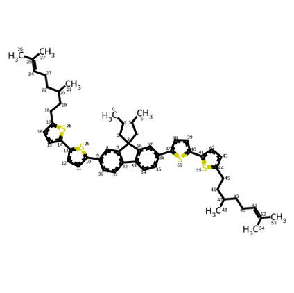 CCCC1(CCC)c2cc(-c3ccc(-c4ccc(CCC(C)CCC=C(C)C)s4)s3)ccc2-c2ccc(-c3ccc(-c4ccc(CCC(C)CCC=C(C)C)s4)s3)cc21